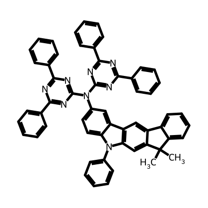 CC1(C)c2ccccc2-c2cc3c4cc(N(c5nc(-c6ccccc6)nc(-c6ccccc6)n5)c5nc(-c6ccccc6)nc(-c6ccccc6)n5)ccc4n(-c4ccccc4)c3cc21